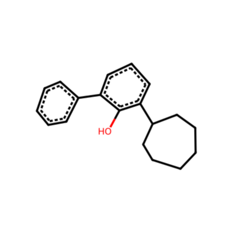 Oc1c(-c2ccccc2)cccc1C1CCCCCC1